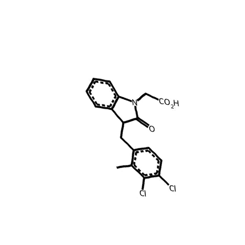 Cc1c(CC2C(=O)N(CC(=O)O)c3ccccc32)ccc(Cl)c1Cl